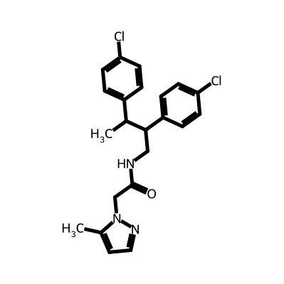 Cc1ccnn1CC(=O)NCC(c1ccc(Cl)cc1)C(C)c1ccc(Cl)cc1